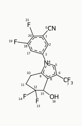 N#Cc1cc(-n2cc(C(F)(F)F)c3c2CCC(F)(F)C3O)cc(F)c1F